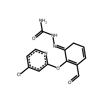 NC(=O)NN=C1CC=CC(C=O)=C1Oc1cc(Cl)ccn1